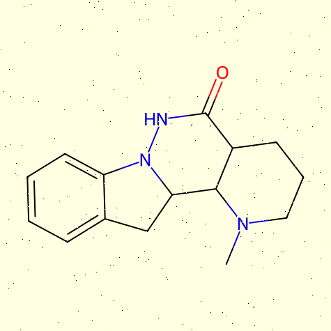 CN1CCCC2C(=O)NN3c4ccccc4CC3C21